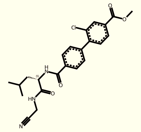 COC(=O)c1ccc(-c2ccc(C(=O)N[C@@H](CC(C)C)C(=O)NCC#N)cc2)c(Cl)c1